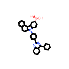 OB(O)C1C=Cc2c(c3c4ccccc4ccc3n2-c2ccc(-c3nc4c(c(-c5ccccc5)n3)C=CCC4)cc2)C1